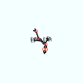 C=C/C(=C\C)OCCCCCCOc1ccc(C(C)(C)c2ccc(Oc3ccc(S(=O)(=O)c4ccc(C)cc4)cc3)c(CCC[Si](CC)(CC)CC)c2)cc1CCC[Si](CC)(CC)CC